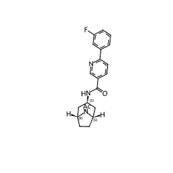 CC(=O)N1[C@@H]2CC[C@H]1C[C@H](NC(=O)c1ccc(-c3cccc(F)c3)nc1)C2